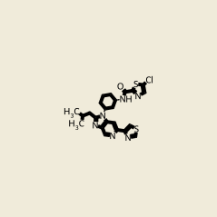 CC(C)Cc1nc2cnc(-c3cscn3)cc2n1[C@@H]1CCC[C@H](NC(=O)c2ncc(Cl)s2)C1